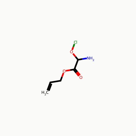 C=CCOC(=O)C(N)OCl